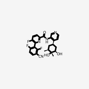 C[C@H]1C[C@@H](c2ccncc2NC(=O)c2ccc(F)c(-c3c(F)ccc(C#N)c3F)n2)C[C@@H](O)[C@]1(C)O